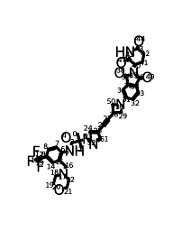 CC(C)(C(=O)Nc1ccc(C(F)(F)F)cc1CN1CCOCC1)n1cc(C#CC2CN(c3ccc4c(c3)C(=O)N(C3CCC(=O)NC3=O)C4=O)C2)cn1